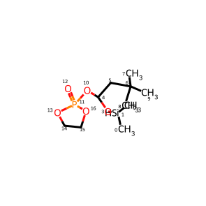 C[SiH](C)OC(CC(C)(C)C)OP1(=O)OCCO1